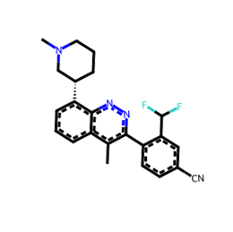 Cc1c(-c2ccc(C#N)cc2C(F)F)nnc2c([C@H]3CCCN(C)C3)cccc12